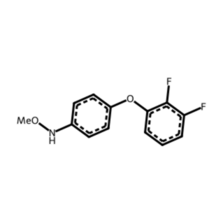 CONc1ccc(Oc2cccc(F)c2F)cc1